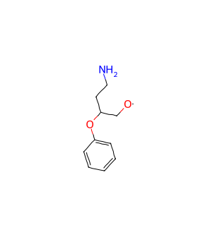 NCCC(C[O])Oc1ccccc1